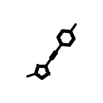 Cc1ccc(C#Cc2ncc(C)s2)cc1